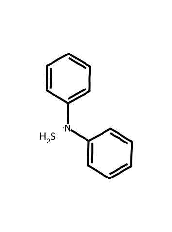 S.c1ccc([N]c2ccccc2)cc1